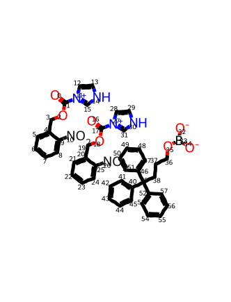 O=C(OCc1ccccc1[N+](=O)[O-])[n+]1cc[nH]c1.O=C(OCc1ccccc1[N+](=O)[O-])[n+]1cc[nH]c1.[O-]B([O-])OCCCC(c1ccccc1)(c1ccccc1)c1ccccc1